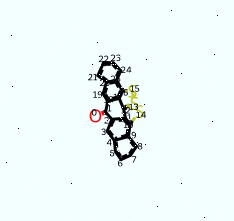 O=C1c2cc3ccccc3c3c2C2=S(S3)Sc3c2c1cc1ccccc31